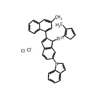 CC1=[C]([Zr+2][CH]2C(c3cc(C)cc4ccccc34)=Cc3ccc(-n4ccc5ccccc54)cc32)CC=C1.[Cl-].[Cl-]